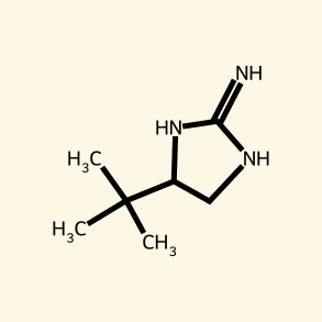 CC(C)(C)C1CNC(=N)N1